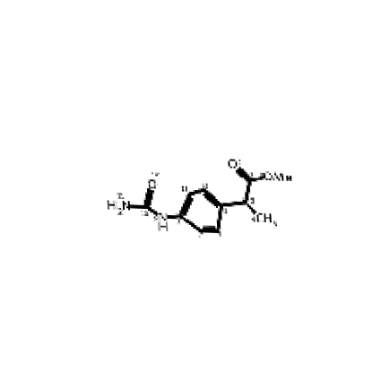 COC(=O)[C@@H](C)c1ccc(NC(N)=O)cc1